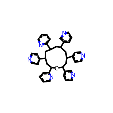 c1ccc(C2CC(c3cccnc3)CC(c3ccncc3)CC(c3cccnc3)CC(c3ccccn3)CC(c3ccncc3)C2)nc1